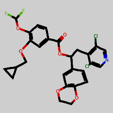 O=C(OC(Cc1c(Cl)cncc1Cl)c1ccc2c(c1)OCCO2)c1ccc(OC(F)F)c(OCC2CC2)c1